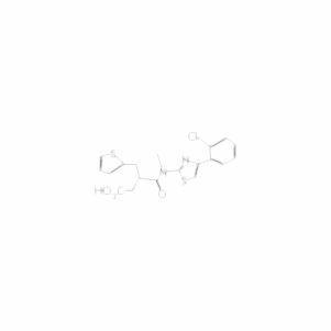 CN(C(=O)[C@@H](CC(=O)O)Cc1cccs1)c1nc(-c2ccccc2Cl)cs1